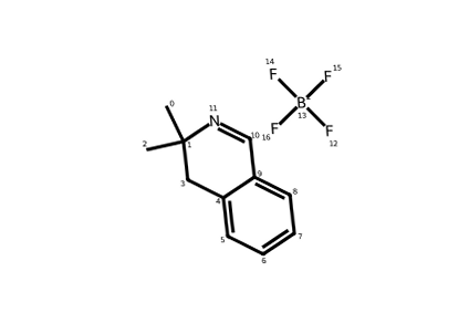 CC1(C)Cc2ccccc2C=N1.F[B-](F)(F)F